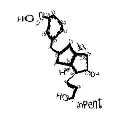 CCCCC[C@H](O)/C=C/[C@H]1[C@H]2CC(Cc3cccc(C(=O)O)c3)=C[C@H]2C[C@H]1O